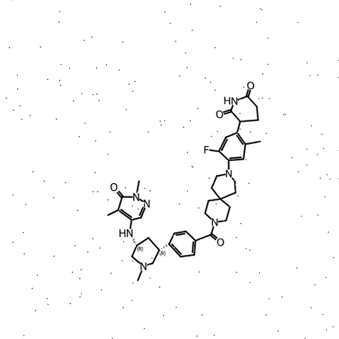 Cc1cc(N2CCC3(CCN(C(=O)c4ccc([C@H]5C[C@@H](Nc6cnn(C)c(=O)c6C)CN(C)C5)cc4)CC3)CC2)c(F)cc1C1CCC(=O)NC1=O